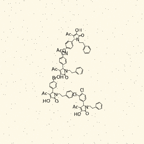 CC(=O)C1=C(O)C(=O)N(CCc2ccccc2)C1c1ccc(Br)cc1.CC(=O)C1=C(O)C(=O)N(CCc2ccccc2)C1c1ccc(C#N)cc1.CC(=O)C1=C(O)C(=O)N(CCc2ccccc2)C1c1ccc(Cl)c(Cl)c1.CC(=O)Oc1ccc(C2C(C(C)=O)=C(O)C(=O)N2CCc2ccccc2)cc1